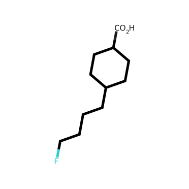 O=C(O)C1CCC(CCCCF)CC1